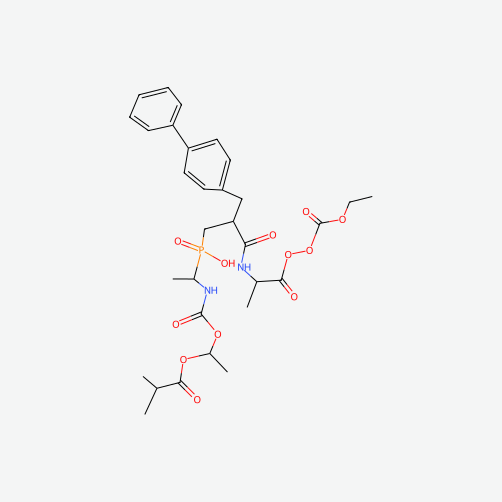 CCOC(=O)OOC(=O)C(C)NC(=O)C(Cc1ccc(-c2ccccc2)cc1)CP(=O)(O)C(C)NC(=O)OC(C)OC(=O)C(C)C